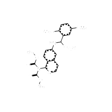 COc1ccc(OC)c(C(Nc2ccc3c(N(C(=O)OC(C)(C)C)C(=O)OC(C)(C)C)nccc3c2)C(=O)O)c1